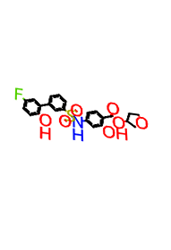 O=C(OC1CCOC1)c1ccc(NS(=O)(=O)c2cccc(-c3cc(F)ccc3O)c2)cc1O